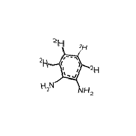 [2H]c1c([2H])c([2H])c(N)c(N)c1[2H]